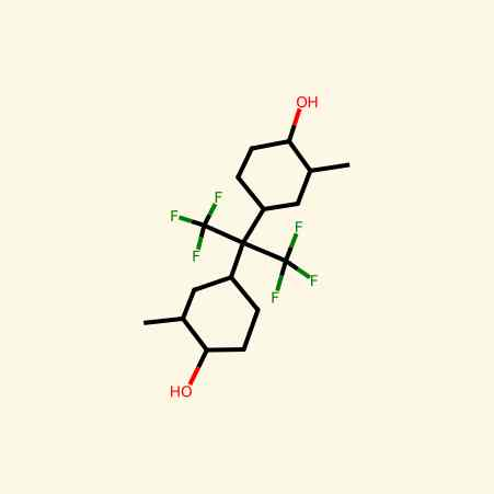 CC1CC(C(C2CCC(O)C(C)C2)(C(F)(F)F)C(F)(F)F)CCC1O